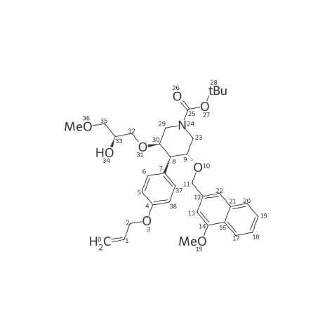 C=CCOc1ccc([C@@H]2[C@@H](OCc3cc(OC)c4ccccc4c3)CN(C(=O)OC(C)(C)C)C[C@@H]2OC[C@@H](O)COC)cc1